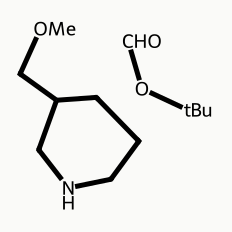 CC(C)(C)OC=O.COCC1CCCNC1